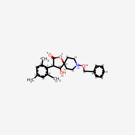 Cc1cc(C)c(C2C(=O)OC3(CCN(OCc4ccccc4)CC3)C2O)c(C)c1